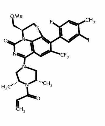 C=CC(=O)N1[C@H](C)CN(c2nc(=O)n3c4c(c(-c5cc(I)c(C)cc5F)c(C(F)(F)F)cc24)SC[C@@H]3COC)C[C@@H]1C